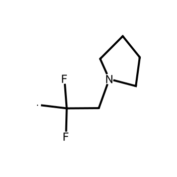 [CH2]C(F)(F)CN1CCCC1